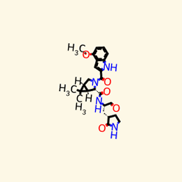 COc1cccc2[nH]c(C(=O)N3C[C@H]4[C@@H]([C@H]3C(=O)N[C@H](C=O)C[C@@H]3CCNC3=O)C4(C)C)cc12